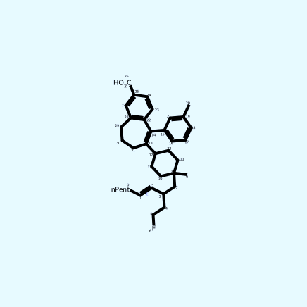 CCCCC/C=C/C(CCF)CC1(C)CCC(C2=C(c3cccc(C)c3)c3ccc(C(=O)O)cc3CCC2)CC1